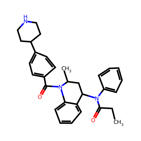 CCC(=O)N(c1ccccc1)C1CC(C)N(C(=O)c2ccc(C3CCNCC3)cc2)c2ccccc21